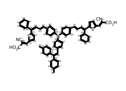 [C-]#[N+]/C(=C\c1ccc(/C(=C/C=C/c2ccc(N(c3ccc(C=C(c4ccc(C)cc4)c4ccc(C)cc4)cc3)c3ccc(/C=C/C=C(/c4ccccc4)c4ccc(/C=C(\C#N)C(=O)O)s4)cc3)cc2)c2ccccc2)s1)C(=O)O